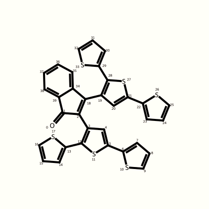 O=C1C(c2cc(-c3cccs3)sc2-c2cccs2)=C(c2cc(-c3cccs3)sc2-c2cccs2)c2ccccc21